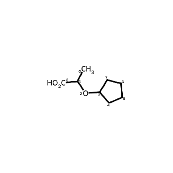 C[C](OC1CCCC1)C(=O)O